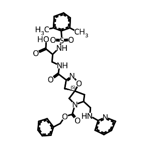 Cc1cccc(C)c1S(=O)(=O)NC(CNC(=O)C1=NO[C@]2(C1)CC(CNc1ccccn1)N(C(=O)OCc1ccccc1)C2)C(=O)O